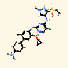 Cc1cc(Nc2ncc(Cl)c(Nc3cn(C)nc3S(=O)(=O)CC(C)C)n2)c(OC2CC2)cc1C1CCC(N(C)C)CC1